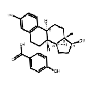 C[C@]12CC[C@@H]3c4ccc(O)cc4CC[C@H]3[C@@H]1CC[C@@H]2O.O=C(O)c1ccc(O)cc1